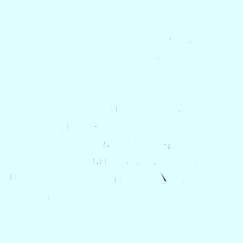 CC(C)N(C[C@@H](O)[C@H](Cc1ccccc1)NC(=O)OCc1ccccc1)NC(=O)OC(C)(C)C